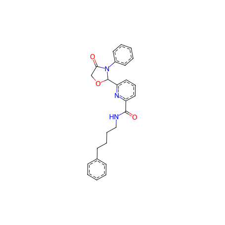 O=C(NCCCCc1ccccc1)c1cccc(C2OCC(=O)N2c2ccccc2)n1